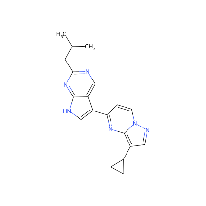 CC(C)Cc1ncc2c(-c3ccn4ncc(C5CC5)c4n3)c[nH]c2n1